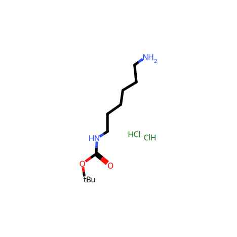 CC(C)(C)OC(=O)NCCCCCCN.Cl.Cl